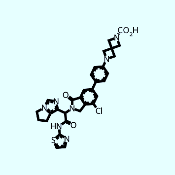 O=C(Nc1nccs1)C(c1ncn2c1CCC2)N1Cc2c(Cl)cc(-c3ccc(N4CC5(CN(C(=O)O)C5)C4)cc3)cc2C1=O